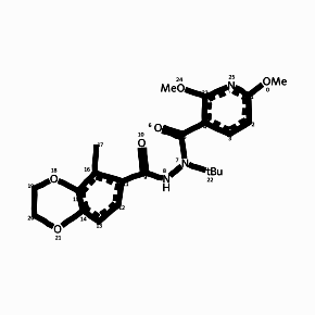 COc1ccc(C(=O)N(NC(=O)c2ccc3c(c2C)OCCO3)C(C)(C)C)c(OC)n1